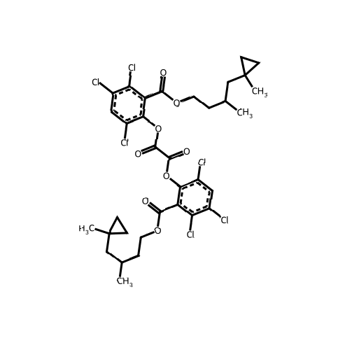 CC(CCOC(=O)c1c(Cl)c(Cl)cc(Cl)c1OC(=O)C(=O)Oc1c(Cl)cc(Cl)c(Cl)c1C(=O)OCCC(C)CC1(C)CC1)CC1(C)CC1